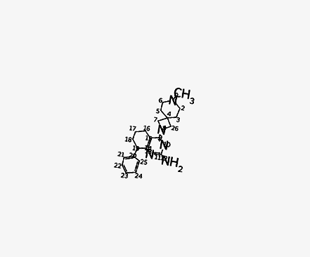 CN1CCC2(CC1)CN(c1nc(N)nc3c1CCCC3c1ccccc1)C2